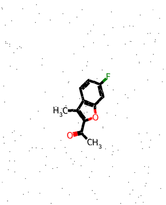 CC(=O)c1oc2cc(F)ccc2c1C